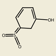 O=S(=O)=C1C=CC=C(O)C1